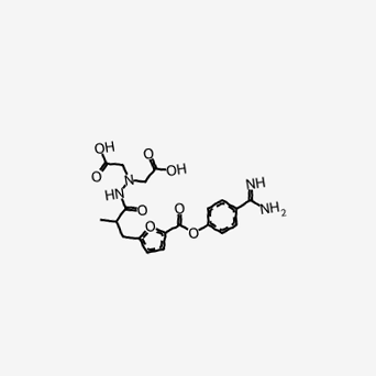 CC(Cc1ccc(C(=O)Oc2ccc(C(=N)N)cc2)o1)C(=O)NN(CC(=O)O)CC(=O)O